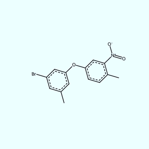 Cc1cc(Br)cc(Oc2ccc(C)c([N+](=O)[O-])c2)c1